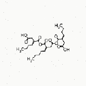 CCCC=C(CC(=O)O)C(=O)OC(=O)CC(=CCCCC)C(=O)OC(=O)C(=CCCC)CC(=O)O